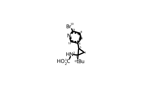 CC(C)(C)C1(NC(=O)O)CC1c1ccc(Br)nc1